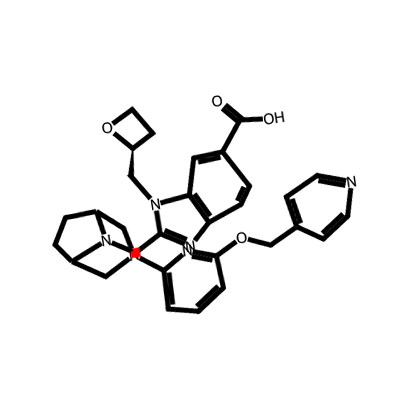 O=C(O)c1ccc2nc(CN3C4CCC3CN(c3cccc(OCc5ccncc5)n3)C4)n(C[C@@H]3CCO3)c2c1